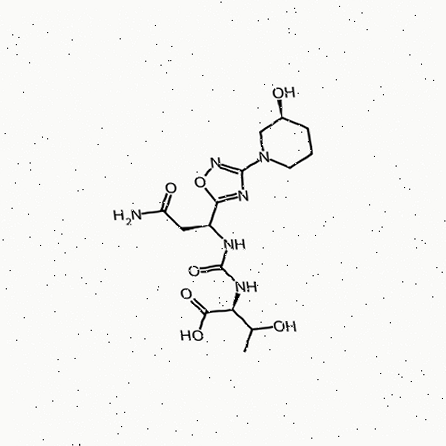 CC(O)[C@H](NC(=O)N[C@@H](CC(N)=O)c1nc(N2CCC[C@H](O)C2)no1)C(=O)O